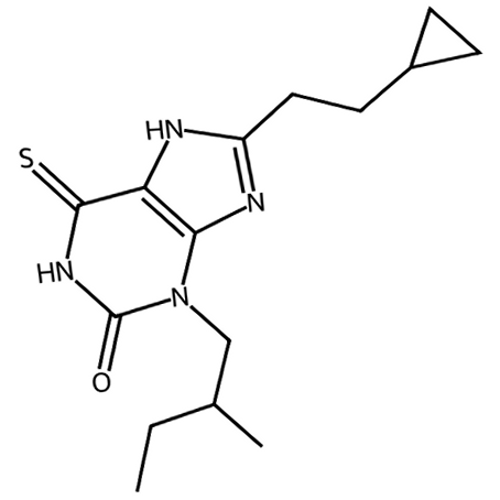 CCC(C)Cn1c(=O)[nH]c(=S)c2[nH]c(CCC3CC3)nc21